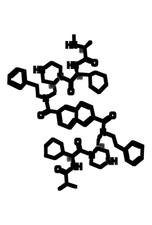 CN[C@@H](C)C(=O)N[C@H](C(=O)N1CCNC[C@H]1CN(CCc1ccccc1)C(=O)c1ccc2cc(C(=O)N(CCc3ccccc3)C[C@@H]3CNCCN3C(=O)[C@@H](NC(=O)C(C)C)C3CCCCC3)ccc2c1)C1CCCCC1